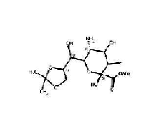 COC(=O)[C@]1(O)OC([C@H](O)[C@H]2COC(C)(C)O2)[C@H](N)C(O)C1F